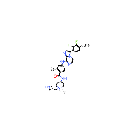 CCc1cc(Nc2nccn3c(-c4ccc(OC)c(F)c4F)cnc23)ccc1C(=O)NC1CC[N+](C)(CC2CNC2)CC1